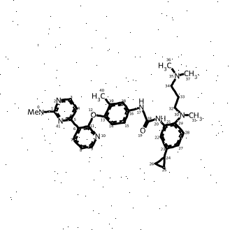 CNc1nccc(-c2cccnc2Oc2ccc(NC(=O)Nc3cc(C4CC4)ccc3N(C)CCCN(C)C)cc2C)n1